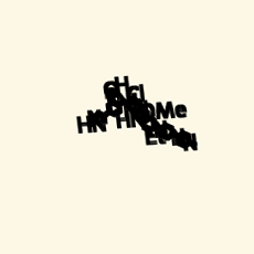 CCc1cc(Nc2ncc(Cl)c(Nc3ccc(-c4cn[nH]c4)cc3P(C)(C)=O)n2)c(OC)cc1N1CCC(N2CCN(C)CC2)CC1